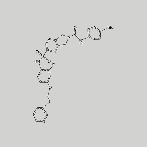 CC(C)(C)c1ccc(NC(=O)N2Cc3ccc(S(=O)(=O)Nc4ccc(OCCc5cccnc5)cc4F)cc3C2)cc1